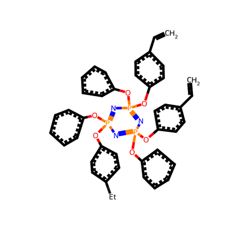 C=Cc1ccc(OP2(Oc3ccccc3)=NP(Oc3ccccc3)(Oc3ccc(C=C)cc3)=NP(Oc3ccccc3)(Oc3ccc(CC)cc3)=N2)cc1